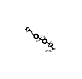 COC(=O)c1coc(-c2ccc(C(C)(c3ccc(OCc4nccs4)cc3)C(C)C)cc2)n1